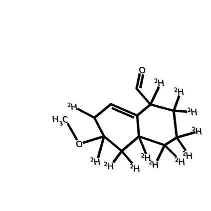 [2H]C1C=C2C([2H])(C=O)C([2H])([2H])C([2H])([2H])C([2H])([2H])C2([2H])C([2H])([2H])C1([2H])OC